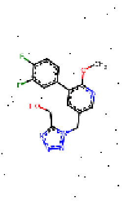 COc1ncc(Cn2nnnc2CO)cc1-c1ccc(F)c(F)c1